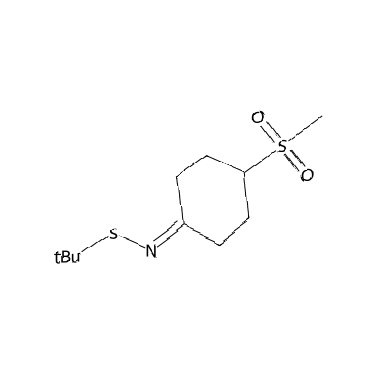 CC(C)(C)SN=C1CCC(S(C)(=O)=O)CC1